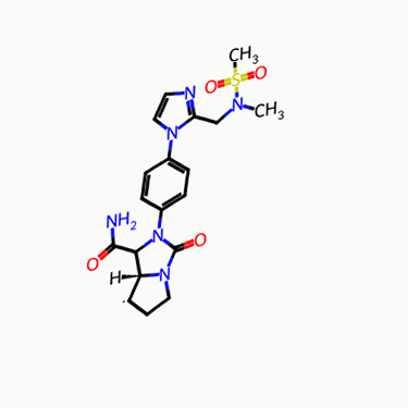 CN(Cc1nccn1-c1ccc(N2C(=O)N3CC[CH][C@@H]3C2C(N)=O)cc1)S(C)(=O)=O